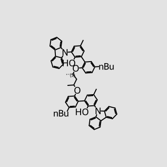 CCCCc1ccc(OC(C)C[C@H](C)Oc2ccc(CCCC)cc2-c2cc(C)cc(-n3c4ccccc4c4ccccc43)c2O)c(-c2cc(C)cc(-n3c4ccccc4c4ccccc43)c2O)c1